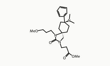 COCCCN1C(=O)N(CCC(=O)OC)C[C@]12CC[C@](c1ccccc1)(N(C)C)CC2